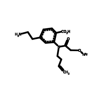 C=CCCN(C(=O)COCCC)c1cc(CCN)ccc1C(=O)O